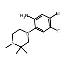 CN1CCN(c2cc(F)c(Br)cc2N)CC1(C)C